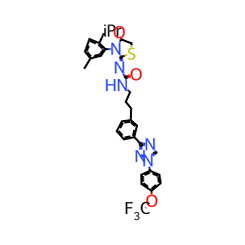 Cc1ccc(C(C)C)c(N2C(=O)CSC2=NC(=O)NCCCc2cccc(-c3ncn(-c4ccc(OC(F)(F)F)cc4)n3)c2)c1